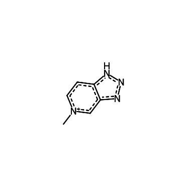 C[n+]1ccc2[nH]nnc2c1